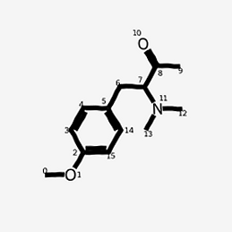 COc1ccc(CC(C(C)=O)N(C)C)cc1